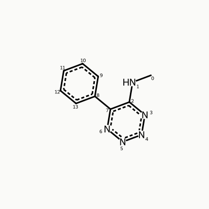 CNc1nnnnc1-c1ccccc1